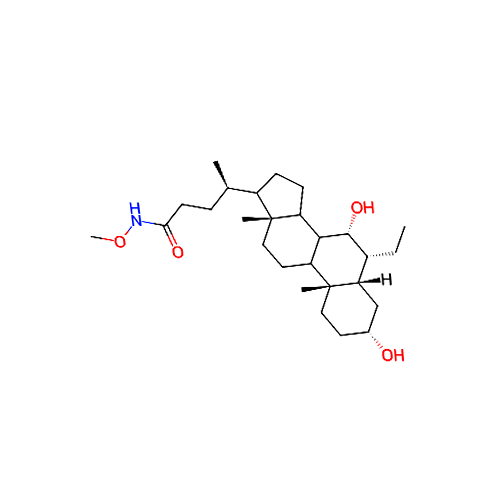 CC[C@H]1[C@@H](O)C2C3CCC([C@H](C)CCC(=O)NOC)[C@@]3(C)CCC2[C@@]2(C)CC[C@@H](O)C[C@@H]12